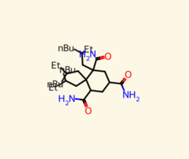 CCCCC(CC)CC1(C(N)=O)CC(C(N)=O)CC(C(N)=O)C1(CC(CC)CCCC)CC(CC)CCCC